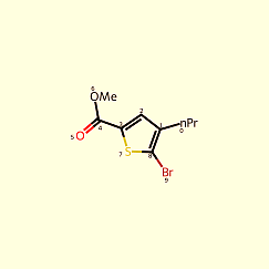 CCCc1cc(C(=O)OC)sc1Br